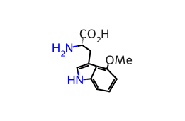 COc1cccc2[nH]cc(C[C@H](N)C(=O)O)c12